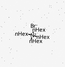 CCCCCC[N+](CCCCCC)(CCCCCC)CCCCCC.[Br-]